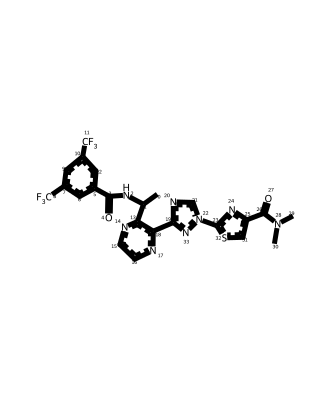 CC(NC(=O)c1cc(C(F)(F)F)cc(C(F)(F)F)c1)c1nccnc1-c1ncn(-c2nc(C(=O)N(C)C)cs2)n1